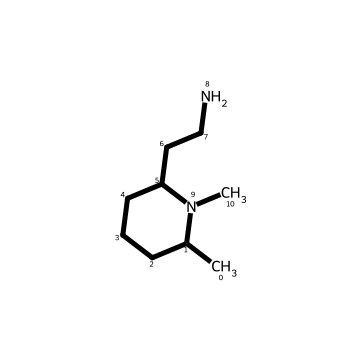 CC1CCCC(CCN)N1C